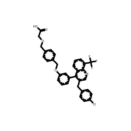 O=C(O)COCc1ccc(COc2cccc(-c3c(Cc4ccc(Cl)cc4)cnc4c(C(F)(F)F)cccc34)c2)cc1